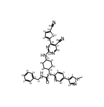 Cn1cc(-c2ccc(N(C(=O)NCc3ccccc3)C3CCC(Nc4ncc(C#N)c(-c5ccc(C#N)s5)n4)CC3)nc2)cn1